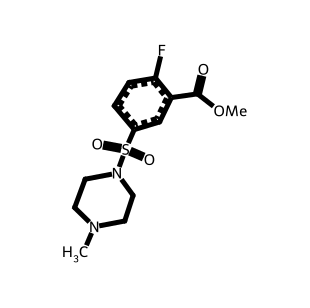 COC(=O)c1cc(S(=O)(=O)N2CCN(C)CC2)ccc1F